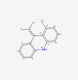 CC(C)=C1c2ccccc2Nc2cccc(C)c21